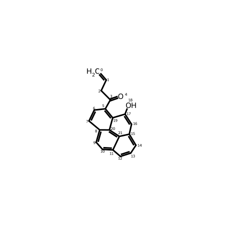 C=CCC(=O)c1ccc2ccc3cccc4cc(O)c1c2c34